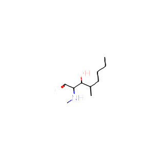 CCCCC(C)C(O)C(C=O)NC